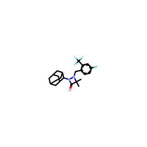 CC1(C)C(=O)N(C2C3CC4CC(C3)CC2C4)N1Cc1ccc(F)cc1C(F)(F)F